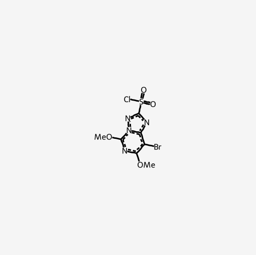 COc1nc(OC)n2nc(S(=O)(=O)Cl)nc2c1Br